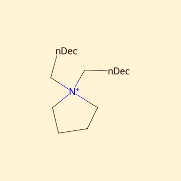 CCCCCCCCCCC[N+]1(CCCCCCCCCCC)CCCC1